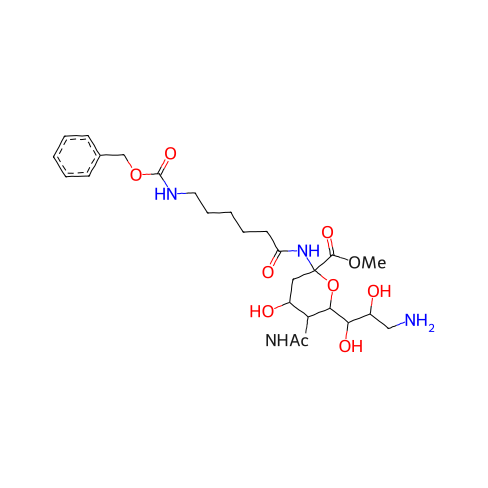 COC(=O)C1(NC(=O)CCCCCNC(=O)OCc2ccccc2)CC(O)C(NC(C)=O)C(C(O)C(O)CN)O1